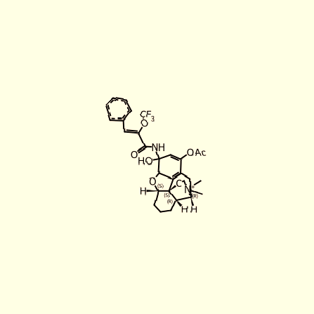 CC(=O)OC1=CC(O)(NC(=O)C(=Cc2ccccc2)OC(F)(F)F)C2O[C@H]3CCC[C@H]4[C@H]5CC1=C2[C@@]34CC[N+]5(C)C